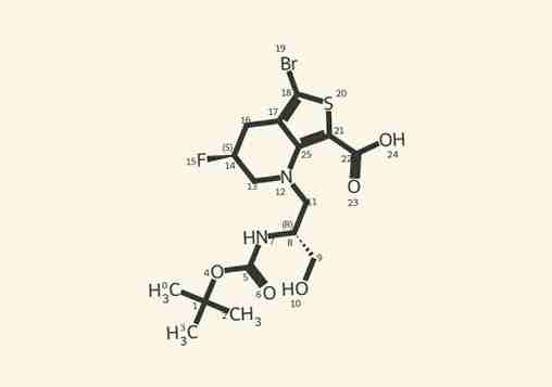 CC(C)(C)OC(=O)N[C@@H](CO)CN1C[C@@H](F)Cc2c(Br)sc(C(=O)O)c21